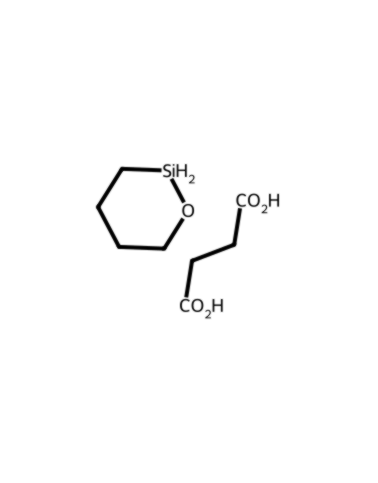 C1CC[SiH2]OC1.O=C(O)CCC(=O)O